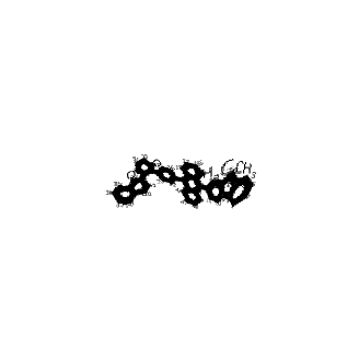 CC1(C)c2ccccc2-c2ccc(-c3c4ccccc4c(-c4ccc5c(c4)oc4ccc6oc7c8ccccc8ccc7c6c45)c4ccccc34)cc21